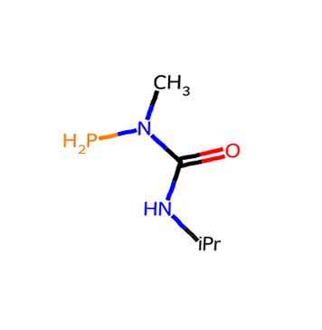 CC(C)NC(=O)N(C)P